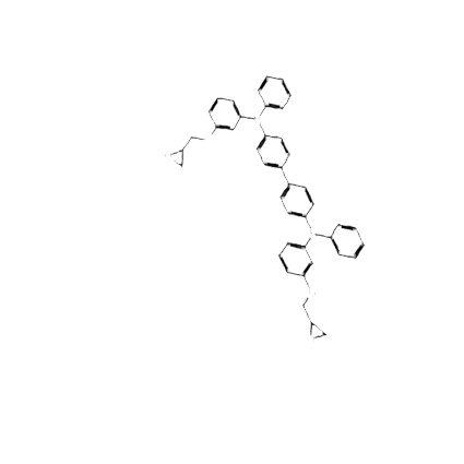 c1ccc(N(c2ccc(-c3ccc(N(c4ccccc4)c4cccc(OCC5CO5)c4)cc3)cc2)c2cccc(OCC3CO3)c2)cc1